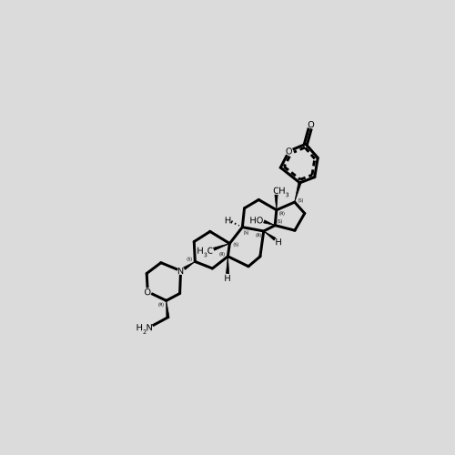 C[C@]12CC[C@H](N3CCO[C@H](CN)C3)C[C@H]1CC[C@@H]1[C@@H]2CC[C@]2(C)[C@@H](c3ccc(=O)oc3)CC[C@]12O